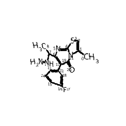 Cc1csc2nc(C(C)NN)c(-c3cccc(F)c3)c(=O)n12